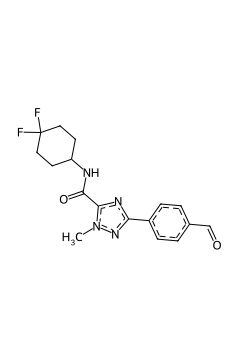 Cn1nc(-c2ccc(C=O)cc2)nc1C(=O)NC1CCC(F)(F)CC1